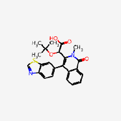 Cn1c(C(OC(C)(C)C)C(=O)O)c(-c2ccc3ncsc3c2)c2ccccc2c1=O